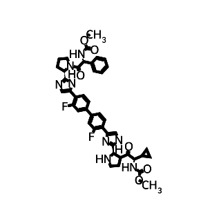 COC(=O)N[C@H](C(=O)C1CCN[C@H]1c1nc(-c2ccc(-c3ccc(-c4cnc([C@@H]5CCCN5C(=O)[C@H](NC(=O)OC)c5ccccc5)[nH]4)c(F)c3)cc2F)c[nH]1)C1CC1